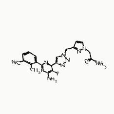 Cc1c(C#N)cccc1-c1nc(N)c(F)c(-c2cn(Cc3ccn(CC(N)=O)n3)nn2)n1